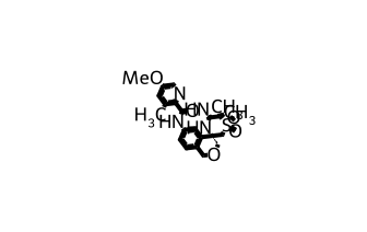 COc1cnc(C(=O)Nc2ccc3c(c2)[C@]2(COC3)CS(=O)(=O)C(C)(C)C(=N)N2)c(C)c1